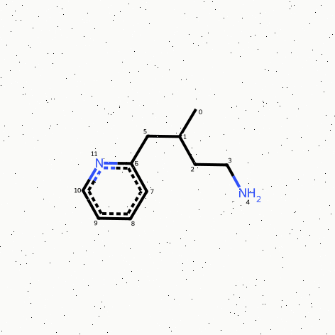 CC(CCN)Cc1ccccn1